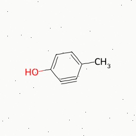 Cc1c#cc(O)cc1